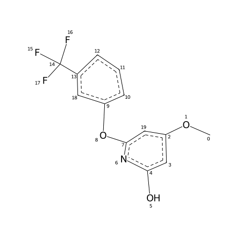 COc1cc(O)nc(Oc2cccc(C(F)(F)F)c2)c1